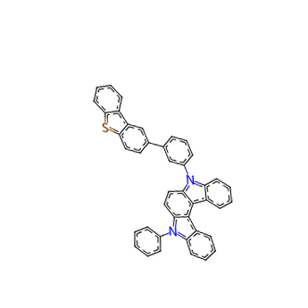 c1ccc(-n2c3ccccc3c3c4c5ccccc5n(-c5cccc(-c6ccc7sc8ccccc8c7c6)c5)c4ccc32)cc1